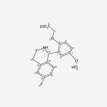 CCOC(=O)COc1ccc(Cl)cc1C1NCCc2cc(F)ccc21.Cl